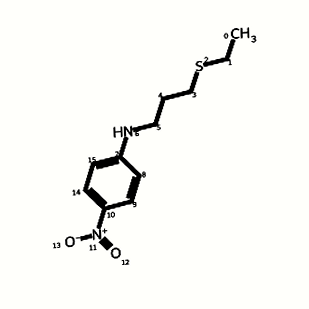 CCSCCCNc1ccc([N+](=O)[O-])cc1